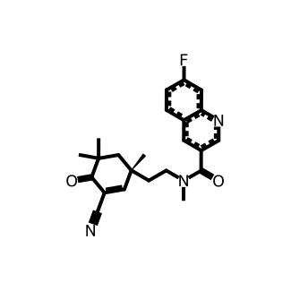 CN(CC[C@]1(C)C=C(C#N)C(=O)C(C)(C)C1)C(=O)c1cnc2cc(F)ccc2c1